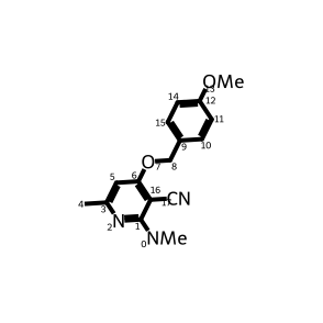 CNc1nc(C)cc(OCc2ccc(OC)cc2)c1C#N